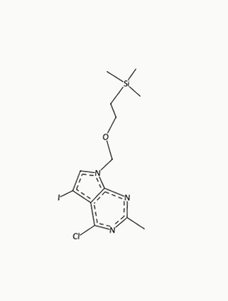 Cc1nc(Cl)c2c(I)cn(COCC[Si](C)(C)C)c2n1